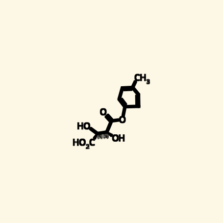 Cc1ccc(OC(=O)[C@@H](O)[C@H](O)C(=O)O)cc1